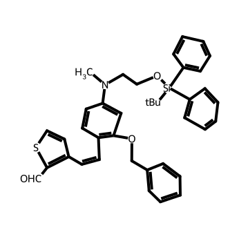 CN(CCO[Si](c1ccccc1)(c1ccccc1)C(C)(C)C)c1ccc(/C=C\c2ccsc2C=O)c(OCc2ccccc2)c1